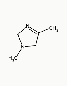 CC1=NCN(C)C1